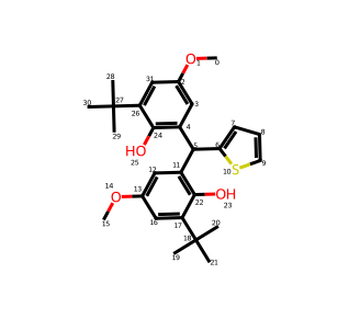 COc1cc(C(c2cccs2)c2cc(OC)cc(C(C)(C)C)c2O)c(O)c(C(C)(C)C)c1